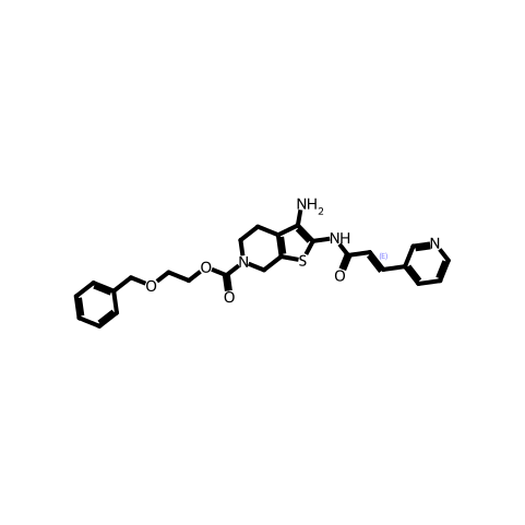 Nc1c(NC(=O)/C=C/c2cccnc2)sc2c1CCN(C(=O)OCCOCc1ccccc1)C2